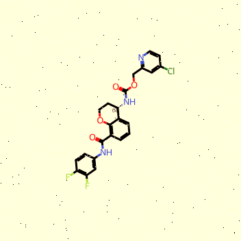 O=C(N[C@H]1CCOc2c(C(=O)Nc3ccc(F)c(F)c3)cccc21)OCc1cc(Cl)ccn1